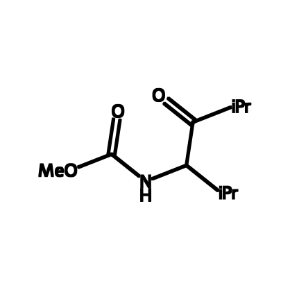 COC(=O)NC(C(=O)C(C)C)C(C)C